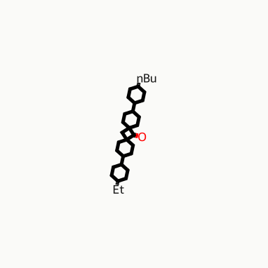 CCCCC1CCC(C2CCC3(CC2)CC2(CCC(C4CCC(CC)CC4)CC2)C3=O)CC1